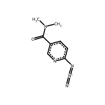 CN(C)C(=O)c1ccc(N=[N+]=[N-])nc1